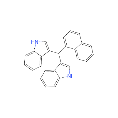 c1ccc2c(C(c3c[nH]c4ccccc34)c3c[nH]c4ccccc34)cccc2c1